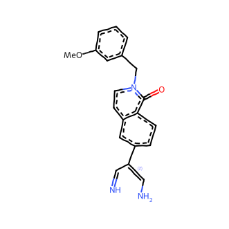 COc1cccc(Cn2ccc3cc(/C(C=N)=C/N)ccc3c2=O)c1